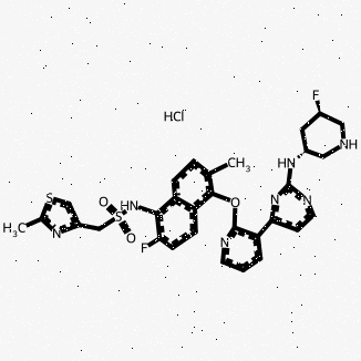 Cc1nc(CS(=O)(=O)Nc2c(F)ccc3c(Oc4ncccc4-c4ccnc(N[C@H]5CNC[C@H](F)C5)n4)c(C)ccc23)cs1.Cl